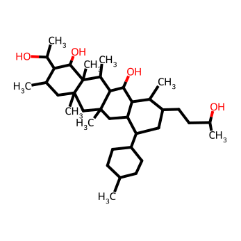 CC(O)CCC1CC(C2CCC(C)CC2)C2CC3(C)CC4(C)CC(C)C(C(C)O)C(O)C4(C)C(C)C3C(O)C2C1C